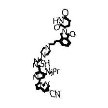 CC(C)Nc1cc(-c2ccc3cc(C#N)cnn23)ncc1-c1nnc(N2CCN(CCCc3cccc4c3CN(C3CCC(=O)NC3=O)C4=O)CC2)s1